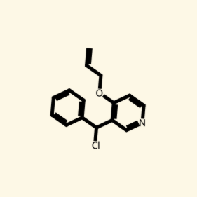 C=CCOc1ccncc1C(Cl)c1ccccc1